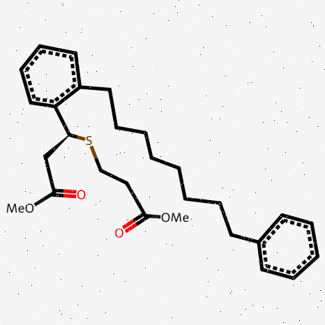 COC(=O)CCS[C@@H](CC(=O)OC)c1ccccc1CCCCCCCCc1ccccc1